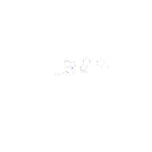 Cn1nc2cc(Sc3ccc(F)cc3)ccc2c1-c1cc2nccc(C(=O)O)c2[nH]1